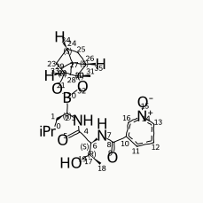 CC(C)C[C@H](NC(=O)[C@@H](NC(=O)c1ccc[n+]([O-])c1)[C@@H](C)O)B1O[C@@H]2C[C@@H]3C[C@@H](C3(C)C)[C@]2(C)O1